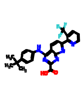 CC(C)(C)c1ccc(Nc2nc(C(=O)O)nc3nc(-c4ncccc4C(F)(F)F)ccc23)cc1